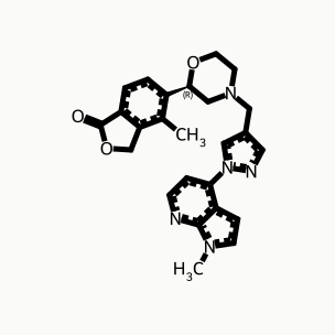 Cc1c([C@@H]2CN(Cc3cnn(-c4ccnc5c4ccn5C)c3)CCO2)ccc2c1COC2=O